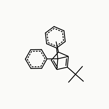 CC1[C]=C2C(C(C)(C)C)=C1C2(c1ccccc1)c1ccccc1